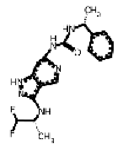 C[C@@H](NC(=O)Nc1cc2[nH]nc(N[C@H](C)C(F)F)c2cn1)c1ccccc1